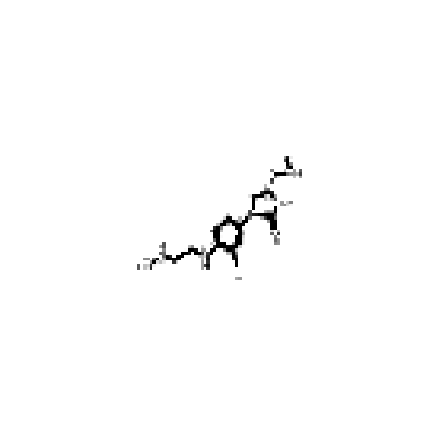 CNC[C@H]1CN(c2ccc(NCCNN)c(F)c2)C(=O)O1